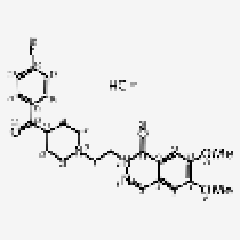 COc1cc2cnn(CCN3CCC(C(=O)c4ccc(F)cc4)CC3)c(=O)c2cc1OC.Cl